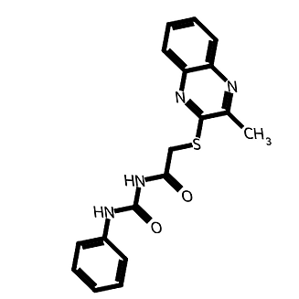 Cc1nc2ccccc2nc1SCC(=O)NC(=O)Nc1ccccc1